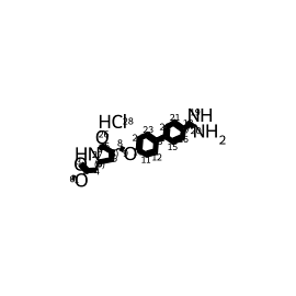 COC(=O)C[C@@H]1C[C@@H](COc2ccc(-c3ccc(C(=N)N)cc3)cc2)C(=O)N1.Cl